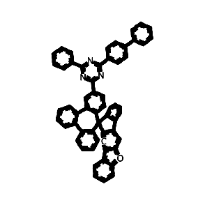 c1ccc(-c2ccc(-c3nc(-c4ccccc4)nc(-c4ccc5c(c4)-c4ccccc4-c4ccccc4C54c5ccccc5-c5cc6oc7ccccc7c6cc54)n3)cc2)cc1